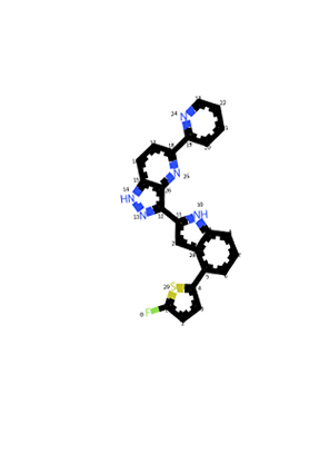 Fc1ccc(-c2cccc3[nH]c(-c4n[nH]c5ccc(-c6ccccn6)nc45)cc23)s1